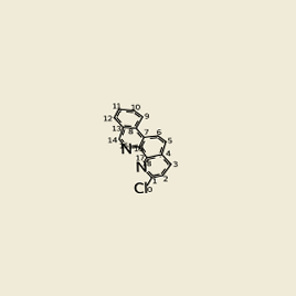 Clc1ccc2ccc3c4ccccc4cnc3c2n1